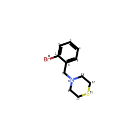 Brc1ccccc1CN1CCSCC1